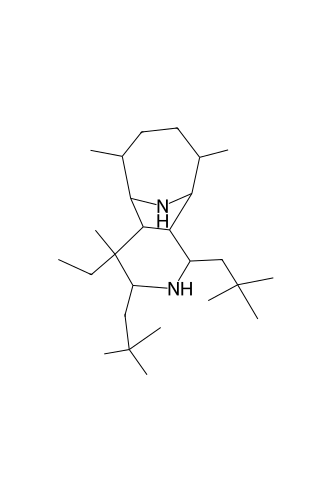 CCC1(C)C(CC(C)(C)C)NC(CC(C)(C)C)C2C3NC(C(C)CCC3C)C21